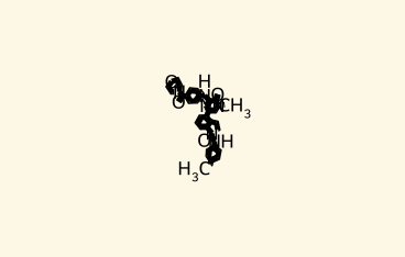 CCc1ccc(NC(=O)N2CCc3c(-c4cn(C)c(=O)c(Nc5ccc(C(=O)N6CCOCC6)cc5)n4)cccc32)cc1